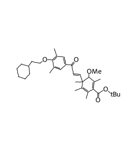 COC1C(C)=C(C(=O)OC(C)(C)C)C(C)=C(C)C1(C)C=CC(=O)c1cc(C)c(OCCC2CCCCC2)c(C)c1